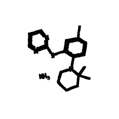 Cc1ccc(N2CCCCC2(C)C)c(Sc2ncccn2)c1.N